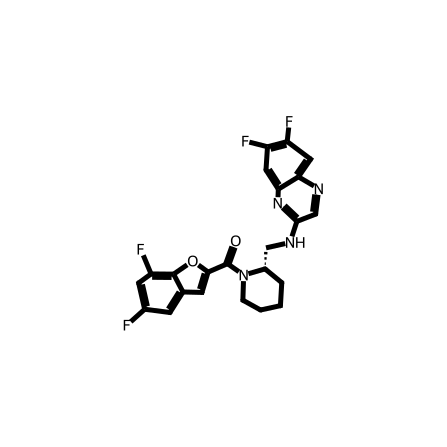 O=C(c1cc2cc(F)cc(F)c2o1)N1CCCC[C@H]1CNc1cnc2cc(F)c(F)cc2n1